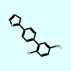 Nc1ccc(Cl)c(-c2ccc(C3=NC=CC3)cc2)c1